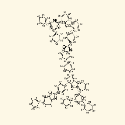 c1ccc(-c2ccc3nc(-c4ccc(-c5cc(-c6ccc(-c7ccc8oc(-c9ccc(-c%10cccc%11c%10sc%10c(-c%12nc(-c%13ccccc%13)nc(-c%13ccccc%13)n%12)cccc%10%11)cc9)nc8c7)cc6)cc6c5sc5c(-c7nc(-c8ccccc8)nc(-c8ccccc8)n7)cccc56)cc4)oc3c2)cc1